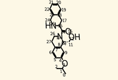 CC(C)Oc1ccc2c(c1)[C@@H](CO)N(C(=O)C1Cc3ccccc3CN1)CC2